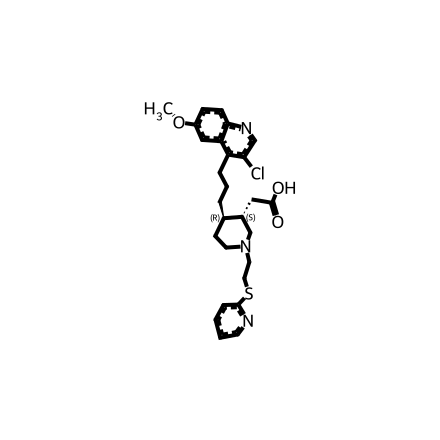 COc1ccc2ncc(Cl)c(CCC[C@@H]3CCN(CCSc4ccccn4)C[C@H]3CC(=O)O)c2c1